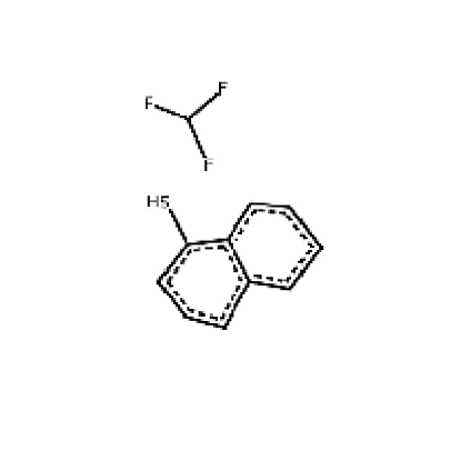 FC(F)F.Sc1cccc2ccccc12